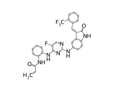 C=CC(=O)Nc1ccccc1Nc1nc(Nc2ccc3c(c2)C(=Cc2ccccc2C(F)(F)F)C(=O)N3)ncc1F